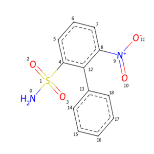 NS(=O)(=O)c1cccc([N+](=O)[O-])c1-c1ccccc1